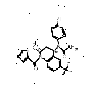 CC(=O)N(c1ccc(Cl)cc1)[C@@H]1C[C@H](C)N(C(=O)c2cccs2)c2ccc(C(F)(F)F)cc21